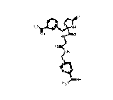 N=C(N)c1ccc(CNC(=O)CNC(=O)C2(Cc3cccc(C(=N)N)c3)CCC(=O)N2)cc1